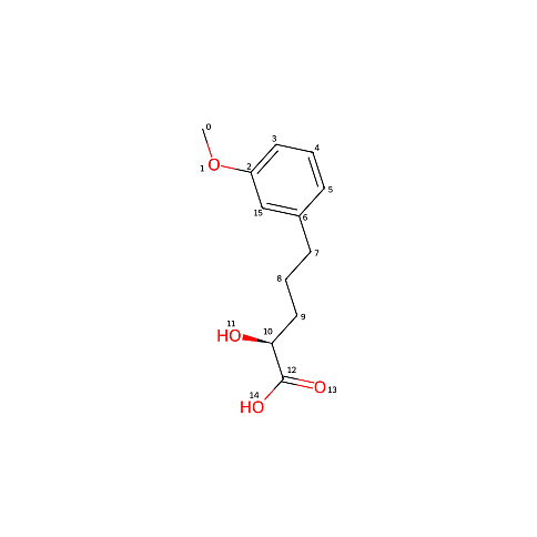 COc1cccc(CCC[C@H](O)C(=O)O)c1